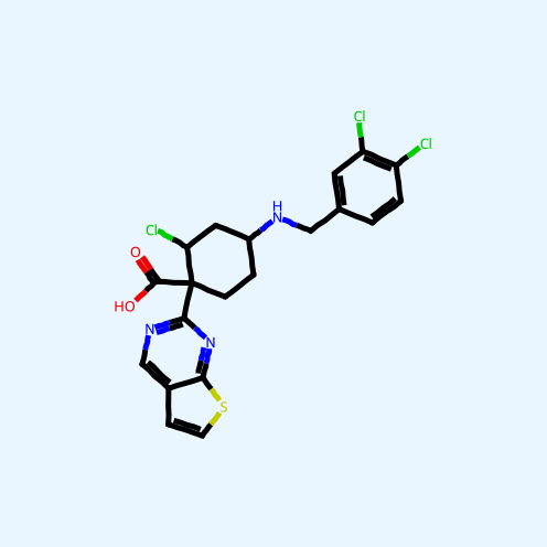 O=C(O)C1(c2ncc3ccsc3n2)CCC(NCc2ccc(Cl)c(Cl)c2)CC1Cl